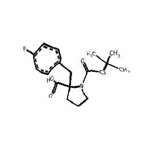 CC(C)(C)OC(=O)N1CCCC1(Cc1ccc(F)cc1)C(=O)O